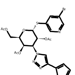 CC(=O)OC[C@H]1O[C@H](Sc2cncc(Br)c2)[C@H](OC(C)=O)[C@@H](n2cc(-c3cccs3)nn2)[C@H]1OC(C)=O